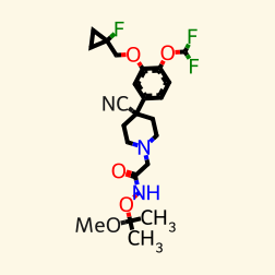 COC(C)(C)ONC(=O)CN1CCC(C#N)(c2ccc(OC(F)F)c(OCC3(F)CC3)c2)CC1